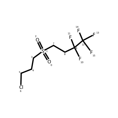 O=S(=O)(CCCCl)CCC(F)(F)C(F)(F)F